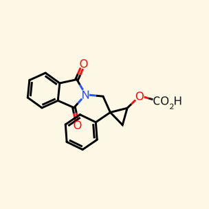 O=C(O)OC1CC1(CN1C(=O)c2ccccc2C1=O)c1ccccc1